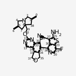 C=C1CN2CC(=C)CC2(COc2ncc3c4c(c(-c5ncc(F)c6sc(N)c(C#N)c56)c(F)c3n2)COC4)C1